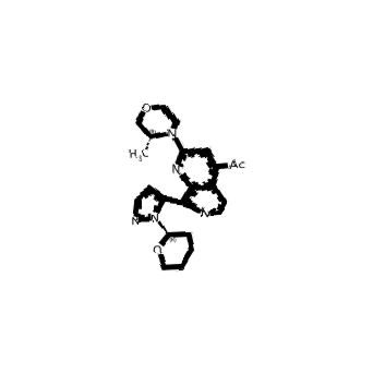 CC(=O)c1cc(N2CCOC[C@H]2C)nc2c(-c3ccnn3[C@H]3CCCCO3)nccc12